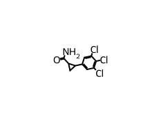 NC(=O)C1CC1c1cc(Cl)c(Cl)c(Cl)c1